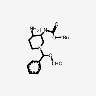 CC(C)(C)OC(=O)NC1CN(C(OC=O)c2ccccc2)CCC1N